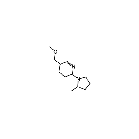 COCC1C=NC(N2CCCC2C)CC1